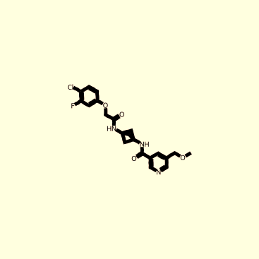 COCc1cncc(C(=O)NC23CC(NC(=O)COc4ccc(Cl)c(F)c4)(C2)C3)c1